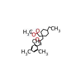 CCC1CCC(CC(=O)Cc2c(C)cc(C)cc2C)(CC(=O)OC)CC1